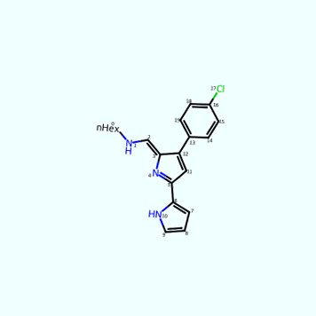 CCCCCCN/C=C1\N=C(c2ccc[nH]2)C=C1c1ccc(Cl)cc1